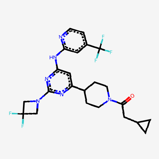 O=C(CC1CC1)N1CCC(c2cc(Nc3cc(C(F)(F)F)ccn3)nc(N3CC(F)(F)C3)n2)CC1